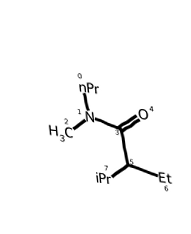 CCCN(C)C(=O)C(CC)C(C)C